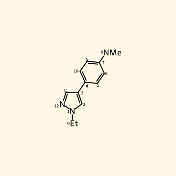 CCn1cc(-c2ccc(NC)cc2)cn1